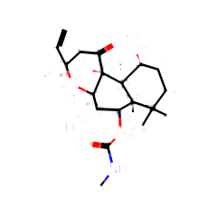 C=C[C@@]1(C)CC(=O)[C@]2(O)[C@@]3(C)[C@@H](O)CCC(C)(C)[C@@H]3C(OC(=O)NC)[C@H](O)[C@@]2(C)O1